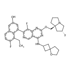 CCc1c(F)ccc2cc(O)cc(-c3ncc4c(NC5CC6(CCCO6)C5)nc(OC[C@@]56CCCN5C[C@H](F)C6)nc4c3F)c12